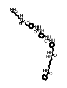 NCCCCCNC(=O)NCc1ccc(NC(=O)Nc2cccc(NC(=O)Nc3ccc(CNC(=O)NCCCCCNC(=O)c4ccccc4)cc3)c2)cc1